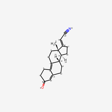 C[C@]12CCC3=C4CCC(=O)C=C4CC[C@H]3[C@@H]1CCC2=CC#N